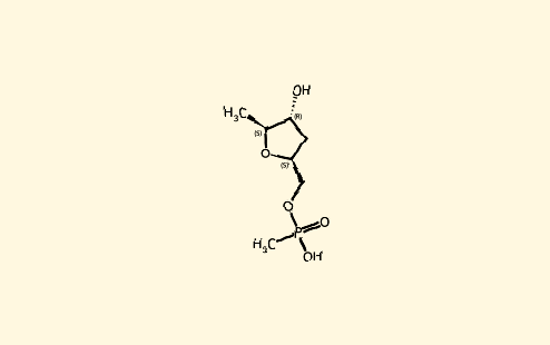 C[C@@H]1O[C@H](COP(C)(=O)O)C[C@H]1O